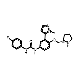 Cn1nccc1-c1cc(NC(=O)Nc2ccc(F)cc2)ccc1OC[C@@H]1CCCN1